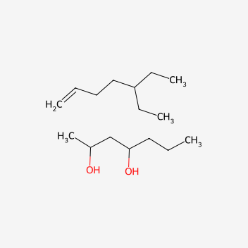 C=CCCC(CC)CC.CCCC(O)CC(C)O